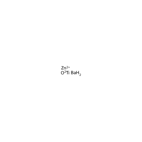 [BaH2].[O-2].[Ti].[Zn+2]